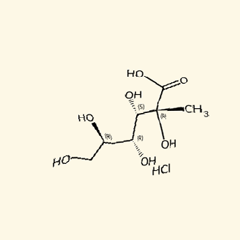 C[C@](O)(C(=O)O)[C@@H](O)[C@H](O)[C@H](O)CO.Cl